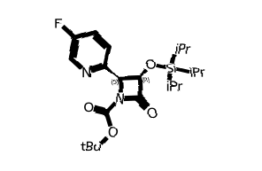 CC(C)[Si](O[C@H]1C(=O)N(C(=O)OC(C)(C)C)[C@H]1c1ccc(F)cn1)(C(C)C)C(C)C